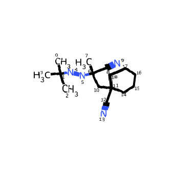 CC(C)(C)N=NC(C)(C#N)CC1(C#N)CCCCC1